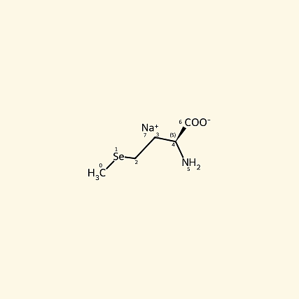 C[Se]CC[C@H](N)C(=O)[O-].[Na+]